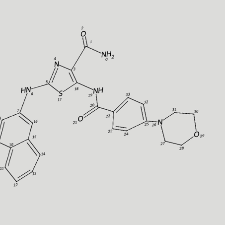 NC(=O)c1nc(Nc2ccc3ccccc3c2)sc1NC(=O)c1ccc(N2CCOCC2)cc1